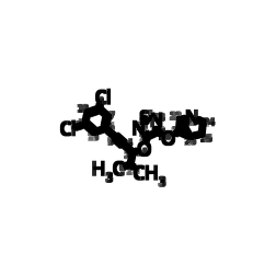 CC(C)C(C#Cc1cc(Cl)cc(Cl)c1)Oc1nsnc1OC1CN2CCC1C2